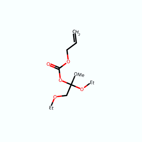 C=CCOC(=O)OC(COCC)(OC)OCC